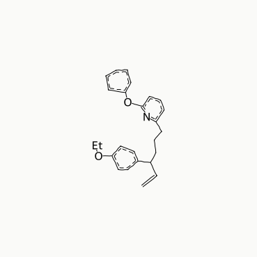 C=CC(CCCc1cccc(Oc2ccccc2)n1)c1ccc(OCC)cc1